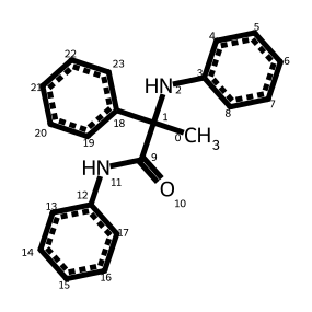 CC(Nc1ccccc1)(C(=O)Nc1ccccc1)c1ccccc1